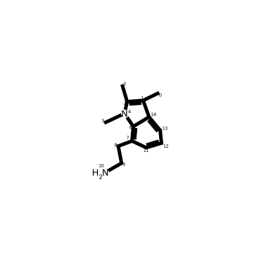 Cc1c(C)n(C)c2c(CCN)cccc12